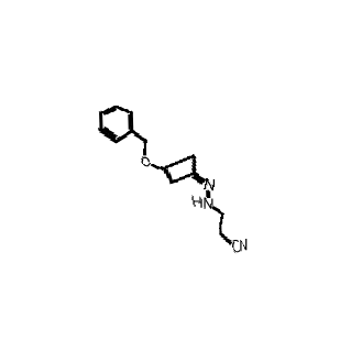 N#CCCNN=C1CC(OCc2ccccc2)C1